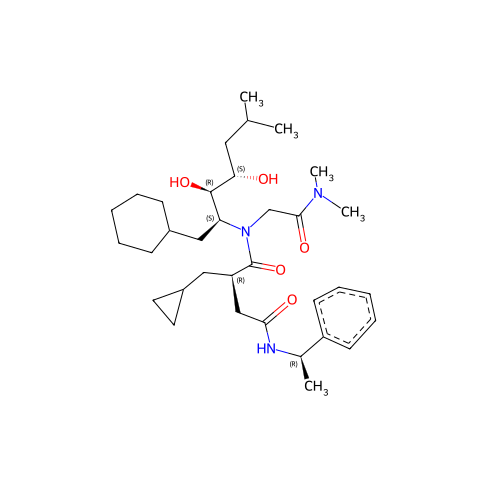 CC(C)C[C@H](O)[C@H](O)[C@H](CC1CCCCC1)N(CC(=O)N(C)C)C(=O)[C@@H](CC(=O)N[C@H](C)c1ccccc1)CC1CC1